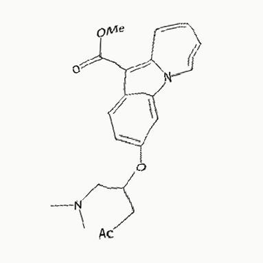 COC(=O)c1c2ccc(OC(CC(C)=O)CN(C)C)cc2n2ccccc12